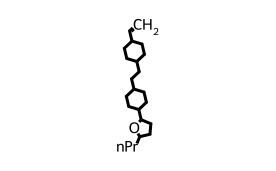 C=CC1CCC(CCC2CCC(C3CCC(CCC)O3)CC2)CC1